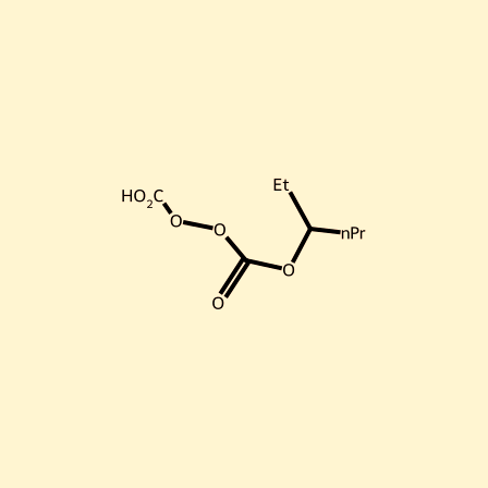 CCCC(CC)OC(=O)OOC(=O)O